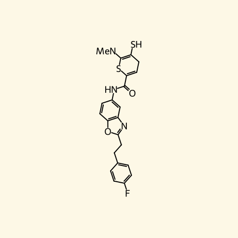 CNC1=C(S)CC=C(C(=O)Nc2ccc3oc(CCc4ccc(F)cc4)nc3c2)S1